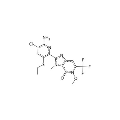 CCSc1cc(Cl)c(N)nc1-c1nc2cc(C(F)(F)F)n(OC)c(=O)c2n1C